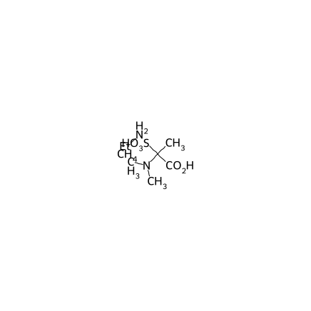 C.CCN.CN(C)C(C)(C(=O)O)S(=O)(=O)O